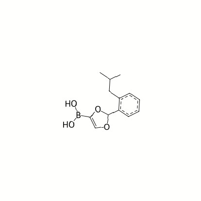 CC(C)Cc1ccccc1C1OC=C(B(O)O)O1